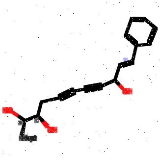 CCCCCCC[C@@H](O)[C@H](O)CC#CC#CC(O)/C=C/c1ccccc1